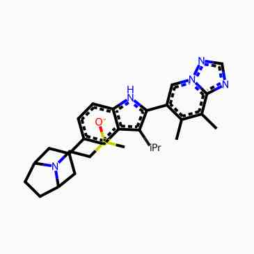 Cc1c(-c2[nH]c3ccc(C4CC5CCC(C4)N5CC[S+](C)[O-])cc3c2C(C)C)cn2ncnc2c1C